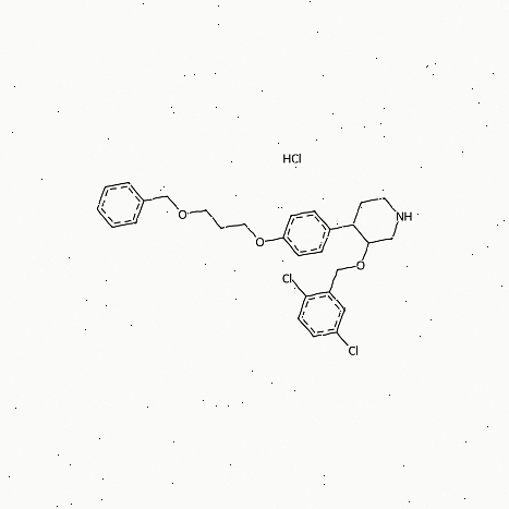 Cl.Clc1ccc(Cl)c(COC2CNCCC2c2ccc(OCCCOCc3ccccc3)cc2)c1